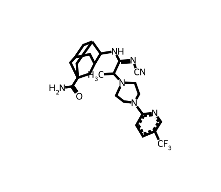 CC(/C(=N\C#N)NC1C2CC3CC1CC(C(N)=O)(C3)C2)N1CCN(c2ccc(C(F)(F)F)cn2)CC1